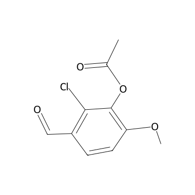 COc1ccc(C=O)c(Cl)c1OC(C)=O